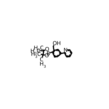 CC1(C)OB(c2ccc(-c3ccccn3)cc2CO)OC1(C)C